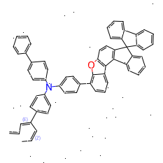 C=C/C=C(\C=C/C)c1ccc(N(c2ccc(-c3ccccc3)cc2)c2ccc(-c3cccc4c3oc3ccc5c(c34)-c3ccccc3C53c4ccccc4-c4ccccc43)cc2)cc1